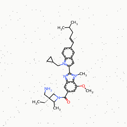 CC[C@]1(CN)CN(C(=O)c2cc(OC)c3c(c2)nc(-c2cc4cc(/C=C/CC(C)C)ccc4n2CC2CC2)n3C)C1C